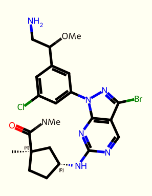 CNC(=O)[C@]1(C)CC[C@@H](Nc2ncc3c(Br)nn(-c4cc(Cl)cc(C(CN)OC)c4)c3n2)C1